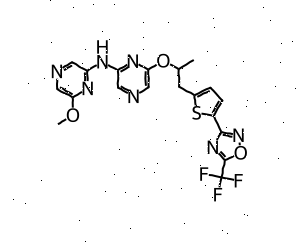 COc1cncc(Nc2cncc(OC(C)Cc3ccc(-c4noc(C(F)(F)F)n4)s3)n2)n1